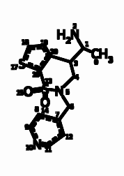 CC(N)C1CN(Cc2ccncc2)S(=O)(=O)c2sccc21